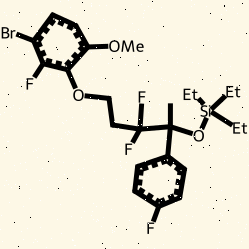 CC[Si](CC)(CC)OC(C)(c1ccc(F)cc1)C(F)(F)CCOc1c(OC)ccc(Br)c1F